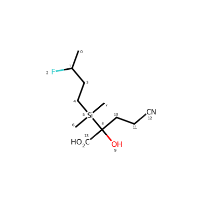 CC(F)CC[Si](C)(C)C(O)(CCC#N)C(=O)O